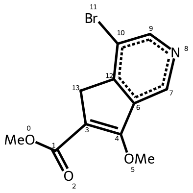 COC(=O)C1=C(OC)c2cncc(Br)c2C1